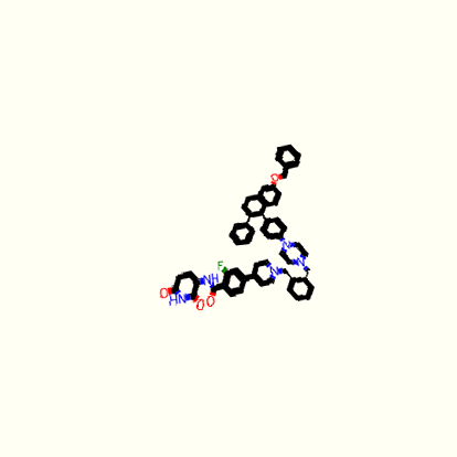 O=C1CCC(NC(=O)c2ccc(C3=CCN(C[C@@H]4CCCC[C@H]4CN4CCN(c5ccc([C@@H]6c7ccc(OCc8ccccc8)cc7CC[C@@H]6c6ccccc6)cc5)CC4)CC3)cc2F)C(=O)N1